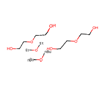 CCCCOCCCC.CCOCC.OCCOCCO.OCCOCCO